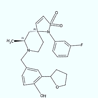 C[C@H]1C[C@@]2(C=CS(=O)(=O)N2c2cccc(F)c2)CCN1Cc1ccc(O)c(C2CCCO2)c1